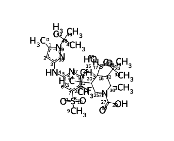 Cc1cc(Nc2cc(S(C)(=O)=O)c(F)c(C[C@@]3(C(=O)O)C(C(C)(C)C)CN(C(=O)O)[C@H](C)C3C(C)(C)C)n2)nn1C(C)(C)C